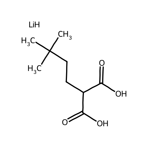 CC(C)(C)CCC(C(=O)O)C(=O)O.[LiH]